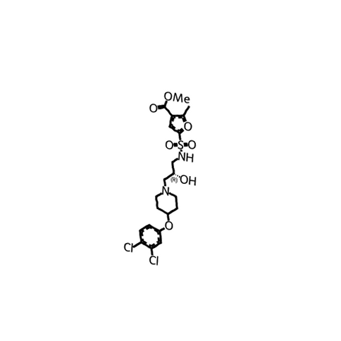 COC(=O)c1cc(S(=O)(=O)NC[C@H](O)CN2CCC(Oc3ccc(Cl)c(Cl)c3)CC2)oc1C